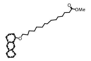 COC(=O)CCCCCCCCCCCCCCOc1cccc2cc3ccccc3cc12